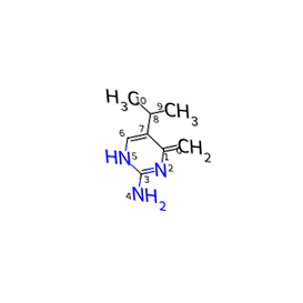 C=C1N=C(N)NC=C1C(C)C